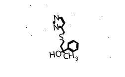 CC(O)(CCSCc1ccncn1)c1ccccc1